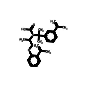 C=C(C)c1cccc(C(C)(C)N(C(=O)O)C(C)COc2ccccc2C(=C)C)c1